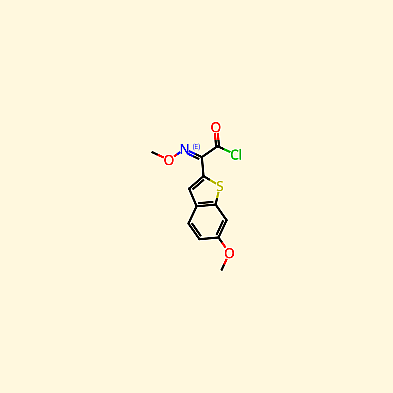 CO/N=C(/C(=O)Cl)c1cc2ccc(OC)cc2s1